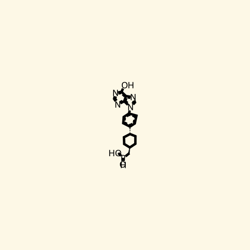 O=[PH](O)C[C@H]1CC[C@H](c2ccc(-n3cnc4c(O)ncnc43)cc2)CC1